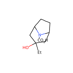 CCC1(O)CC2CCC(C1)N2C(=O)O